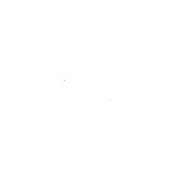 [Ce+3].[F-].[F-].[F-].[F-].[K+]